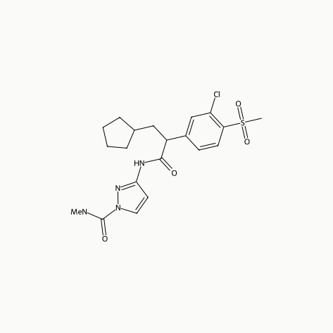 CNC(=O)n1ccc(NC(=O)C(CC2CCCC2)c2ccc(S(C)(=O)=O)c(Cl)c2)n1